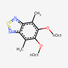 CCCCCCCCOc1c(OCCCCCCCC)c(C)c2nsnc2c1C